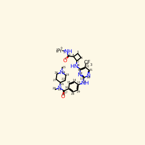 CC(C)NC(=O)C1CCC1Nc1nc(Nc2ccc(C(=O)N(C)C3CCN(C)CC3)cc2)ncc1C(F)(F)F